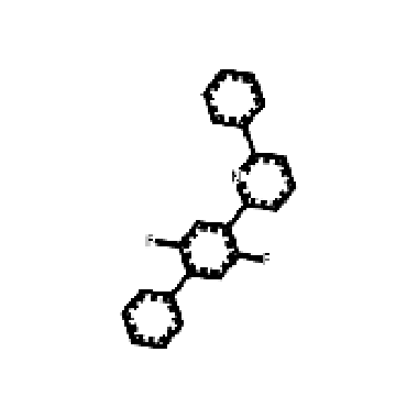 Fc1cc(-c2cccc(-c3ccccc3)n2)c(F)cc1-c1ccccc1